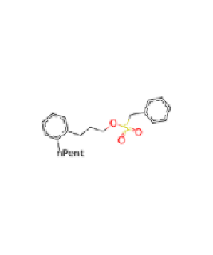 CCCCCc1ccccc1CCCOS(=O)(=O)Cc1ccccc1